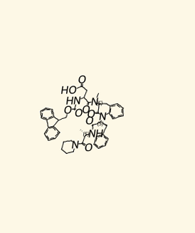 C[C@H](NC(=O)[C@H](Cc1ccccc1)N1C(=O)[C@@H](N(C)C(=O)C(CC(=O)O)NC(=O)OCC2c3ccccc3-c3ccccc32)Cc2ccccc21)C(=O)N1CCCCC1